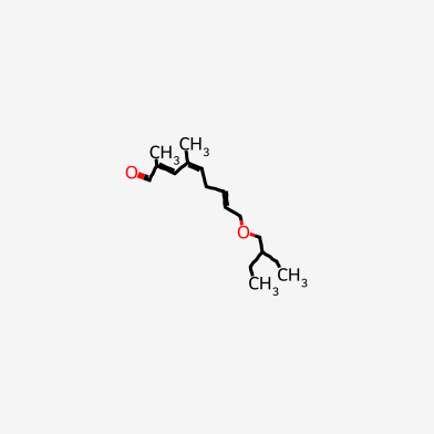 CCC(CC)COC/C=C/C/C=C(C)\C=C(/C)C=O